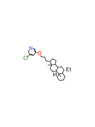 CC[C@H]1CC2C3CCC(CCCOc4cncc(Cl)c4)C3(C)CC[C@@H]2C2(C)CCCCC12